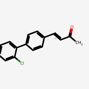 CC(=O)/C=C/c1ccc(-c2ccccc2Cl)cc1